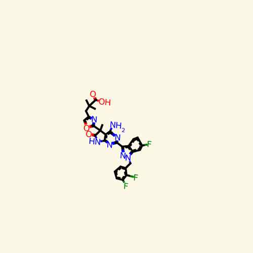 CC(C)(Cc1coc(C2(C)C(=O)Nc3nc(-c4nn(Cc5cccc(F)c5F)c5cc(F)ccc45)nc(N)c32)n1)C(=O)O